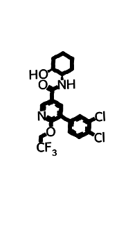 O=C(N[C@@H]1CCCC[C@@H]1O)c1cnc(OCC(F)(F)F)c(-c2ccc(Cl)c(Cl)c2)c1